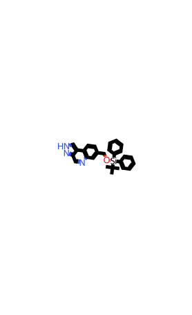 CC(C)(C)[Si](OCc1ccc2c(c1)ncc1n[nH]cc12)(c1ccccc1)c1ccccc1